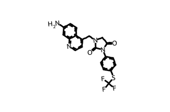 Nc1ccc2c(CN3CC(=O)N(c4ccc(SC(F)(F)F)cc4)C3=O)ccnc2c1